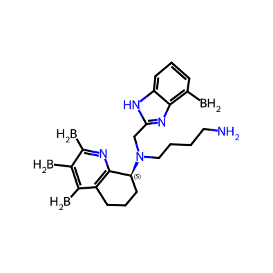 Bc1nc2c(c(B)c1B)CCC[C@@H]2N(CCCCN)Cc1nc2c(B)cccc2[nH]1